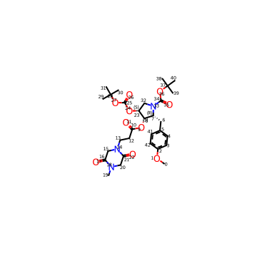 COc1ccc(C[C@@H]2[C@H](OC(=O)CCN3CC(=O)N(C)CC3=O)[C@@H](OC(=O)OC(C)(C)C)CN2C(=O)OC(C)(C)C)cc1